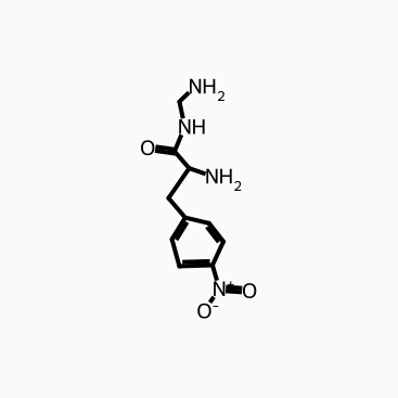 NCNC(=O)C(N)Cc1ccc([N+](=O)[O-])cc1